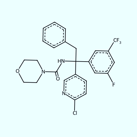 O=C(NC(Cc1ccccc1)(c1ccc(Cl)nc1)c1cc(F)cc(C(F)(F)F)c1)N1CCOCC1